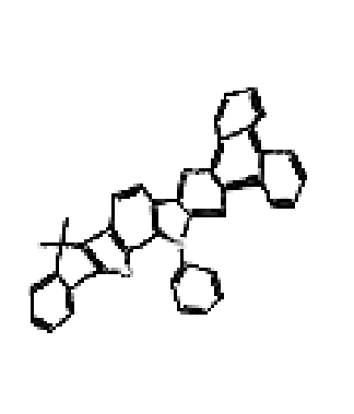 CC1(C)c2ccccc2-c2oc3c(ccc4c5cc6c7ccccc7c7ccccc7c6cc5n(-c5ccccc5)c43)c21